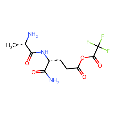 C[C@H](N)C(=O)N[C@H](CCC(=O)OC(=O)C(F)(F)F)C(N)=O